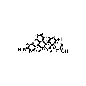 Cc1c(CC(C)(C)OCC(=O)O)c(-c2ccc(Cl)cc2)c2ccccc2c1-c1ccc(N)nc1